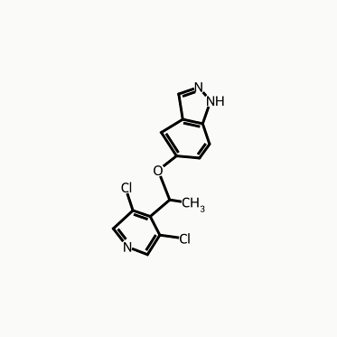 CC(Oc1ccc2[nH]ncc2c1)c1c(Cl)cncc1Cl